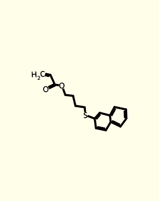 C=CC(=O)OCCCCSc1ccc2ccccc2c1